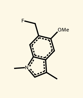 COc1cc2c(C)cn(C)c2cc1CF